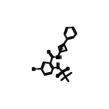 CC(C)(C)S(=O)(=O)Nc1ccc(Br)cc1C(=O)NC12CC(c3ccccc3)(C1)C2